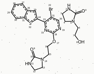 O=C1NCCN1CCO.O=C1NCCN1CCOc1ncc(Br)c(-c2cc3ccccc3s2)n1